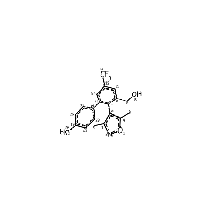 Cc1noc(C)c1-c1c(CO)cc(C(F)(F)F)cc1-c1ccc(O)cc1